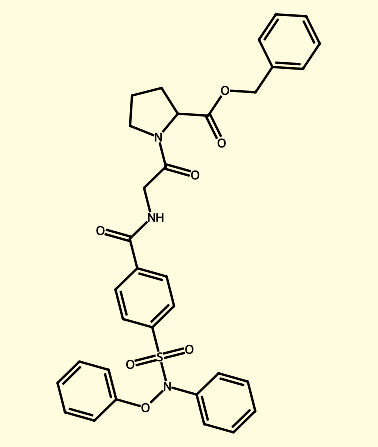 O=C(NCC(=O)N1CCCC1C(=O)OCc1ccccc1)c1ccc(S(=O)(=O)N(Oc2ccccc2)c2ccccc2)cc1